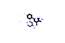 CN1CCC(N(C)C(=O)c2cc(-c3ccc(O)cc3)nc3[nH]ncc23)CC1